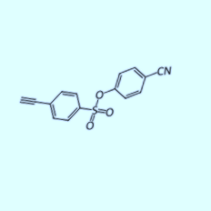 C#Cc1ccc(S(=O)(=O)Oc2ccc(C#N)cc2)cc1